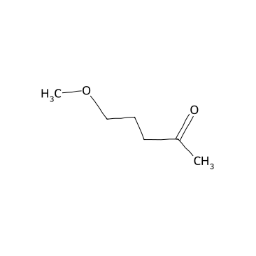 COCCCC(C)=O